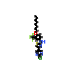 CCCCCCCCOc1ccc(Nc2nc(-c3cnc(Cl)nc3)cs2)cc1C(F)(F)F